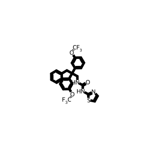 O=C(NCC(Cc1ccccc1)(c1cccc(OC(F)(F)F)c1)c1cccc(OC(F)(F)F)c1)Nc1nccs1